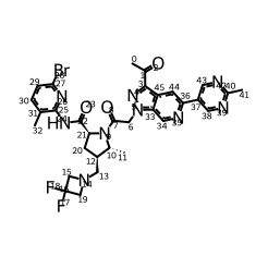 CC(=O)c1nn(CC(=O)N2[C@H](C)[C@@H](CN3CC(F)(F)C3)C[C@H]2C(=O)Nc2nc(Br)ccc2C)c2cnc(-c3cnc(C)nc3)cc12